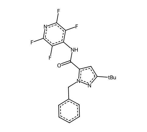 CC(C)(C)c1cc(C(=O)Nc2c(F)c(F)nc(F)c2F)n(Cc2ccccc2)n1